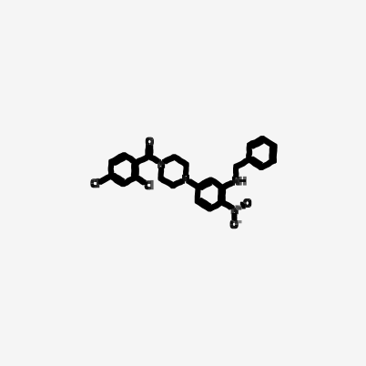 O=C(c1ccc(Cl)cc1Cl)N1CCN(c2ccc([N+](=O)[O-])c(NCc3ccccc3)c2)CC1